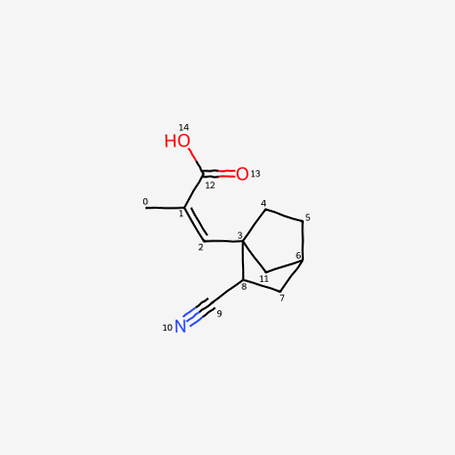 CC(=CC12CCC(CC1C#N)C2)C(=O)O